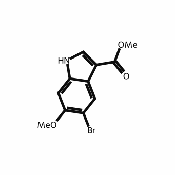 COC(=O)c1c[nH]c2cc(OC)c(Br)cc12